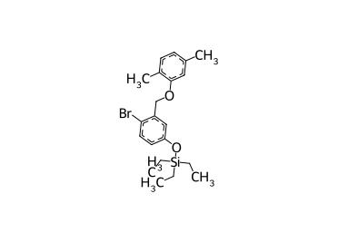 CC[Si](CC)(CC)Oc1ccc(Br)c(COc2cc(C)ccc2C)c1